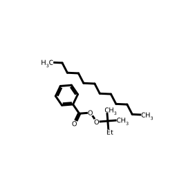 CCC(C)(C)OOC(=O)c1ccccc1.CCCCCCCCCCCC